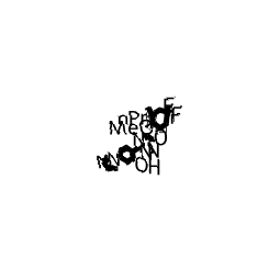 CCC[C@]1(C)CC(F)(F)C[C@H](Oc2cnc(-c3ccc(-n4ccnc4)cc3O)nn2)[C@H]1OC